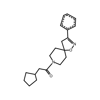 O=C(CC1CCCC1)N1CCC2(CC1)CC(c1ccccc1)=NO2